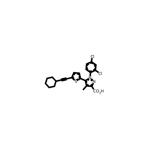 Cc1c(C(=O)O)nn(-c2ccc(Cl)cc2Cl)c1-c1ccc(C#CC2CCCCC2)s1